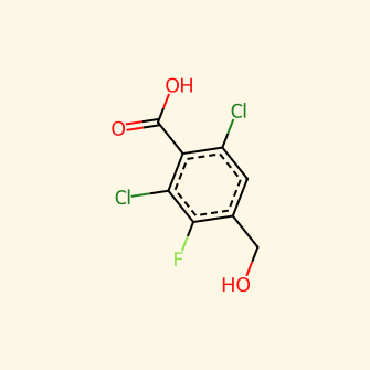 O=C(O)c1c(Cl)cc(CO)c(F)c1Cl